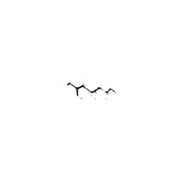 O=[C]CC(O)[C@@H](O)[C@@H](O)[C@H](O)[C@H](O)CO